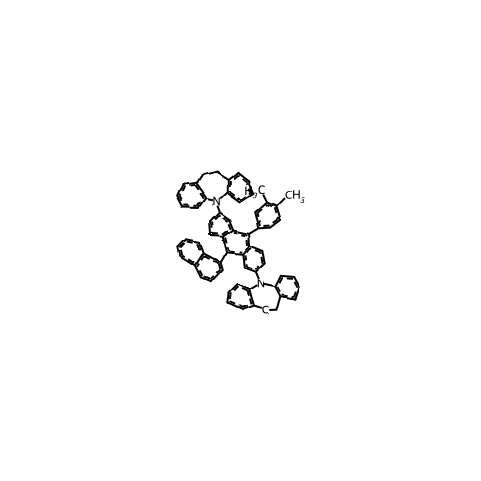 Cc1ccc(-c2c3cc(N4c5ccccc5CCc5ccccc54)ccc3c(-c3cccc4ccccc34)c3cc(N4c5ccccc5CCc5ccccc54)ccc23)cc1C